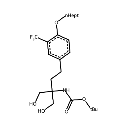 CCCCCCCOc1ccc(CCC(CO)(CO)NC(=O)OC(C)(C)C)cc1C(F)(F)F